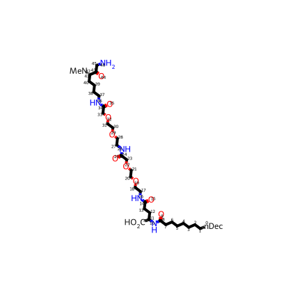 CCCCCCCCCCCCCCCCCC(=O)NC(CCC(=O)NCCOCCOCC(=O)NCCOCCOCC(=O)NCCCC[C@H](NC)C(=O)CN)C(=O)O